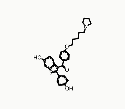 O=C(c1ccc(OCCCCCN2CCCC2)cc1)c1c(-c2ccc(O)cc2)sc2cc(O)ccc12